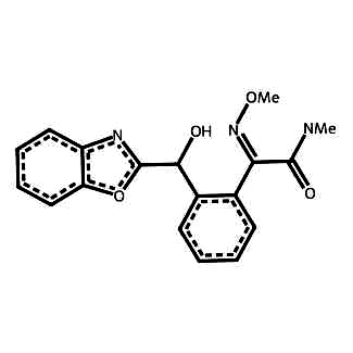 CNC(=O)C(=NOC)c1ccccc1C(O)c1nc2ccccc2o1